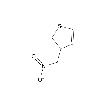 O=[N+]([O-])CC1C=CSC1